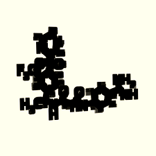 CC(NC(=O)CC(=O)Nc1ccc(C(=N)N)cc1)c1ccc(S(=O)(=O)c2cnccn2)c(C(F)(F)F)c1